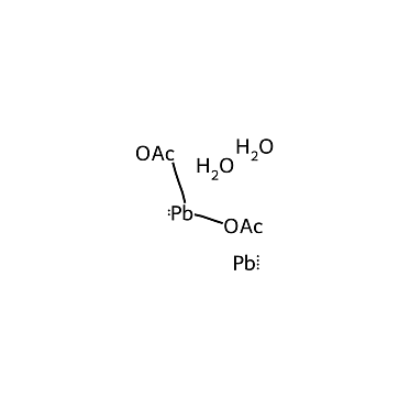 CC(=O)[O][Pb][O]C(C)=O.O.O.[Pb]